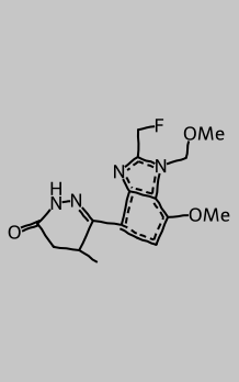 COCn1c(CF)nc2c(C3=NNC(=O)CC3C)ccc(OC)c21